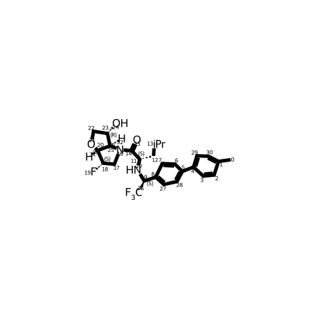 Cc1ccc(-c2ccc([C@H](N[C@@H](CC(C)C)C(=O)N3C[C@H](F)[C@H]4OC[C@H](O)[C@H]43)C(F)(F)F)cc2)cc1